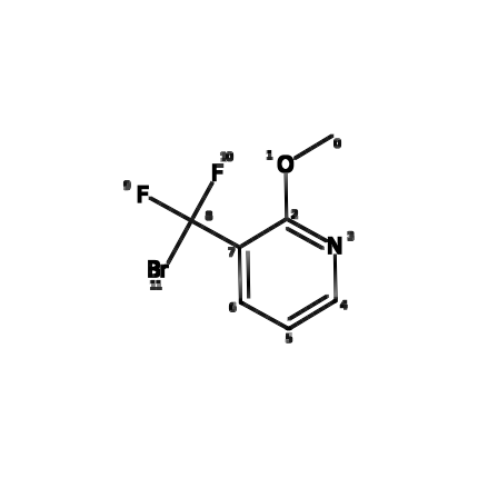 COc1ncccc1C(F)(F)Br